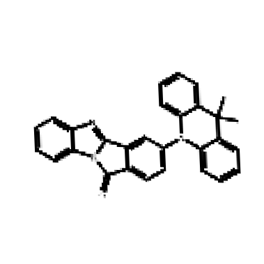 CC1(C)c2ccccc2N(c2ccc3c(c2)-c2nc4ccccc4n2C3=O)c2ccccc21